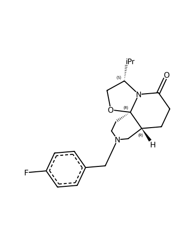 CC(C)[C@H]1CO[C@]23CCN(Cc4ccc(F)cc4)C[C@H]2CCC(=O)N13